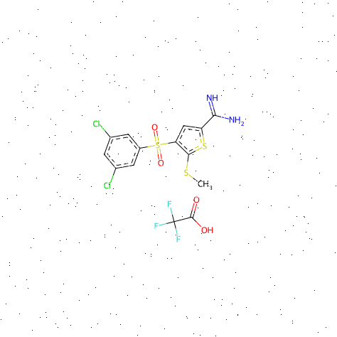 CSc1sc(C(=N)N)cc1S(=O)(=O)c1cc(Cl)cc(Cl)c1.O=C(O)C(F)(F)F